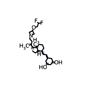 C[C@H](CCN1CC(OCC(F)F)C1)[C@H]1CC[C@H]2/C(=C/C=C3C[C@@H](O)C[C@H](O)C3)CCC[C@]12C